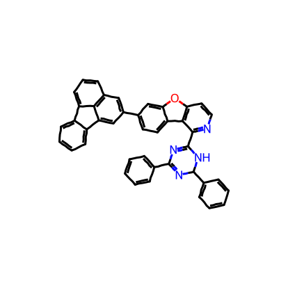 c1ccc(C2=NC(c3ccccc3)NC(c3nccc4oc5cc(-c6cc7c8c(cccc8c6)-c6ccccc6-7)ccc5c34)=N2)cc1